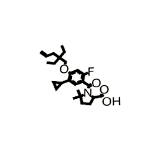 C=CCC(CC)(CC)COc1cc(F)c(C(=O)N2C(C(=O)O)CCC2(C)C)cc1C1CC1